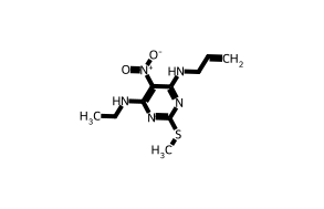 C=CCNc1nc(SC)nc(NCC)c1[N+](=O)[O-]